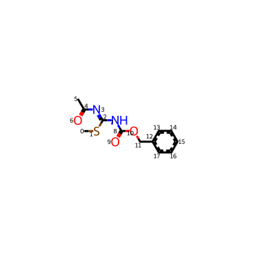 CS/C(=N\C(C)=O)NC(=O)OCc1ccccc1